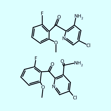 COc1cccc(F)c1C(=O)c1ncc(Cl)cc1C(N)=O.COc1cccc(F)c1C(=O)c1ncc(Cl)cc1N